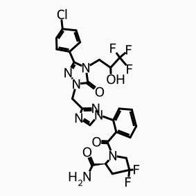 NC(=O)[C@@H]1CC(F)(F)CN1C(=O)c1ccccc1-n1cnc(Cn2nc(-c3ccc(Cl)cc3)n(CC(O)C(F)(F)F)c2=O)n1